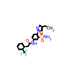 CCc1cnn(-c2ccc(NC(=O)Cc3ccccc3C(F)(F)F)cc2S(N)(=O)=O)c1